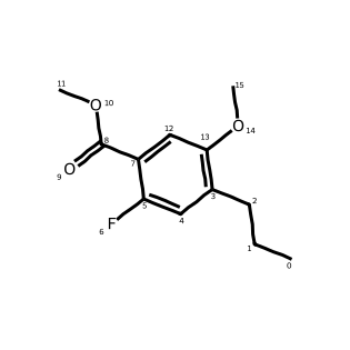 CCCc1cc(F)c(C(=O)OC)cc1OC